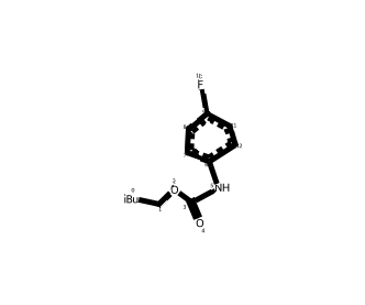 CCC(C)COC(=O)Nc1ccc(F)cc1